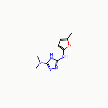 Cc1ccc(Nc2nnc(N(C)C)[nH]2)o1